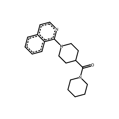 O=C(C1CCN(c2nccc3ccccc23)CC1)N1CCCCC1